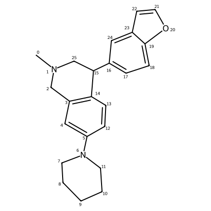 CN1Cc2cc(N3CCCCC3)ccc2C(c2ccc3occc3c2)C1